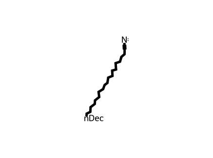 CCCCCCCCCCCCCCCCCCCCCCCCCCCCC#C[N]